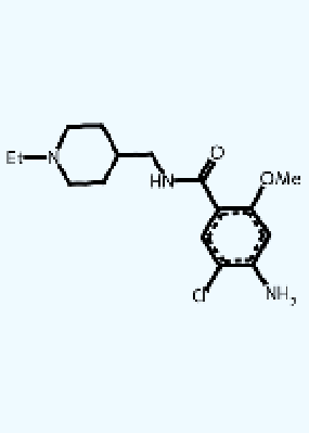 CCN1CCC(CNC(=O)c2cc(Cl)c(N)cc2OC)CC1